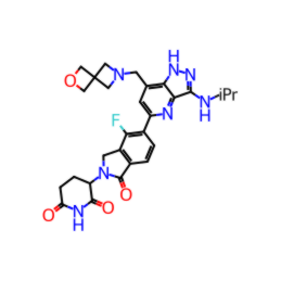 CC(C)Nc1n[nH]c2c(CN3CC4(COC4)C3)cc(-c3ccc4c(c3F)CN(C3CCC(=O)NC3=O)C4=O)nc12